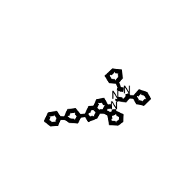 c1ccc(-c2ccc(-c3ccc4c(ccc5c4c4ccccc4n5-c4cc(-c5ccccc5)nc(-c5ccccc5)n4)c3)cc2)cc1